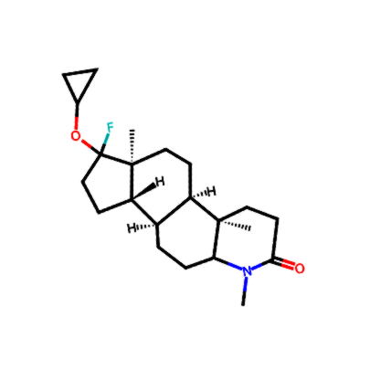 CN1C(=O)CC[C@@]2(C)C1CC[C@@H]1[C@H]2CC[C@@]2(C)[C@H]1CCC2(F)OC1CC1